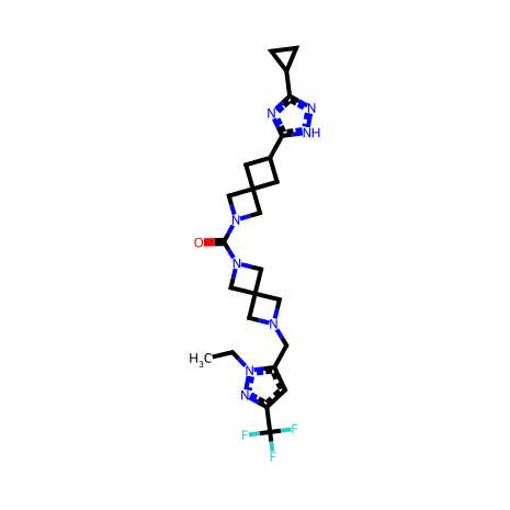 CCn1nc(C(F)(F)F)cc1CN1CC2(C1)CN(C(=O)N1CC3(CC(c4nc(C5CC5)n[nH]4)C3)C1)C2